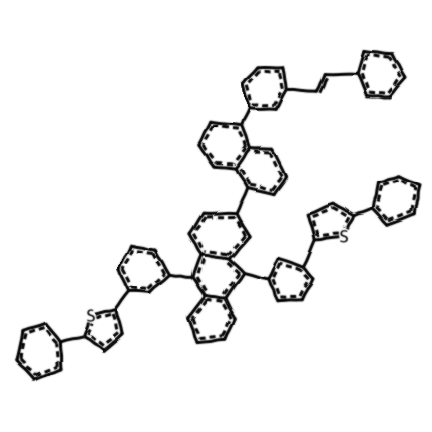 C(=C\c1cccc(-c2cccc3c(-c4ccc5c(-c6cccc(-c7ccc(-c8ccccc8)s7)c6)c6ccccc6c(-c6cccc(-c7ccc(-c8ccccc8)s7)c6)c5c4)cccc23)c1)/c1ccccc1